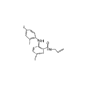 C=CCNC(=O)c1cc(I)ccc1Nc1ccc(I)cc1C